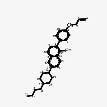 C=CCOc1ccc(-c2ccc3cc(C4CCC(CCCC)CC4)ccc3c2F)cc1